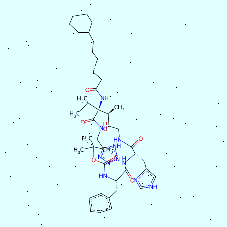 CC(C)[C@@](NC(=O)CCCCCC1CCCCC1)(C(=O)NCc1nnn[nH]1)[C@@H](C)C(O)CNC(=O)[C@H](Cc1c[nH]cn1)NC(=O)[C@H](Cc1ccccc1)NC(=O)OC(C)(C)C